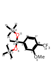 COc1cc([Si](C)(O[Si](C)(C)C)O[Si](C)(C)C)ccc1C(F)(F)F